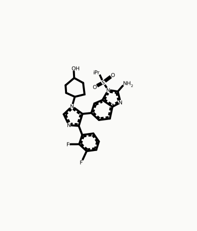 CC(C)S(=O)(=O)n1c(N)nc2ccc(-c3c(-c4cccc(F)c4F)ncn3C3CCC(O)CC3)cc21